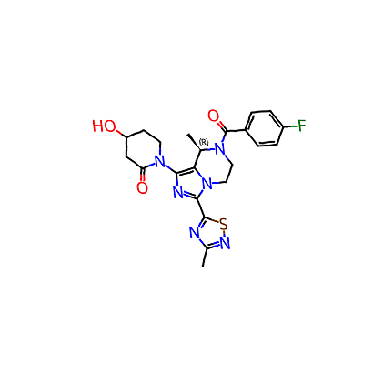 Cc1nsc(-c2nc(N3CCC(O)CC3=O)c3n2CCN(C(=O)c2ccc(F)cc2)[C@@H]3C)n1